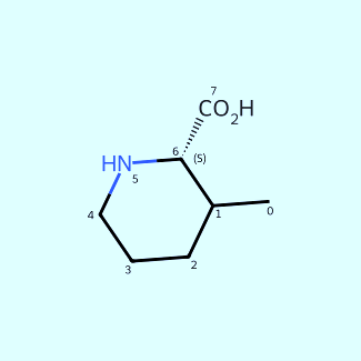 CC1CCCN[C@@H]1C(=O)O